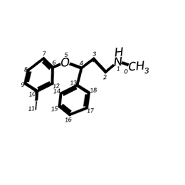 CNC[CH]C(Oc1cccc(I)c1)c1ccccc1